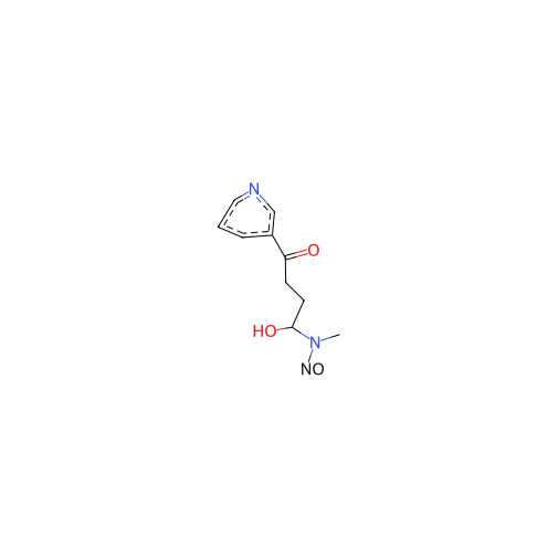 CN(N=O)C(O)CCC(=O)c1cccnc1